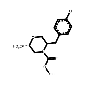 CC(C)(C)OC(=O)N1C[C@H](C(=O)O)OCC1Cc1ccc(Cl)cc1